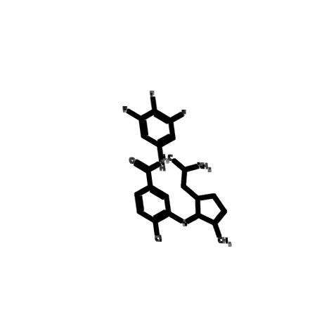 CC(N)CC1CCC(C)C1Sc1cc(C(=O)Nc2cc(F)c(F)c(F)c2)ccc1Cl